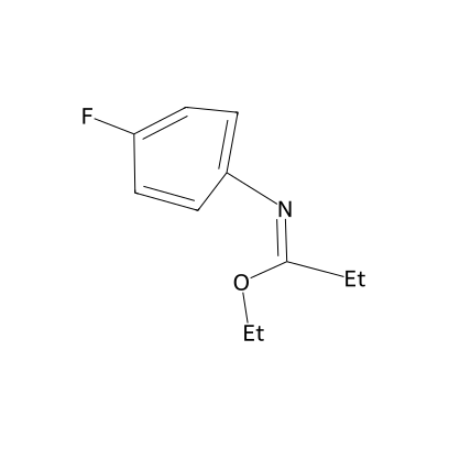 CCOC(CC)=Nc1ccc(F)cc1